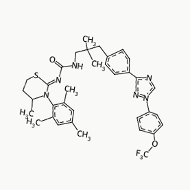 Cc1cc(C)c(N2/C(=N/C(=O)NCC(C)(C)Cc3ccc(-c4ncn(-c5ccc(OC(F)(F)F)cc5)n4)cc3)SCCC2C)c(C)c1